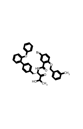 Cc1cccc(COc2ccc(Br)cc2C(=O)N[C@@H](Cc2ccc(-c3ccccc3Oc3ccccc3)cc2)C(=O)C(C)O)c1